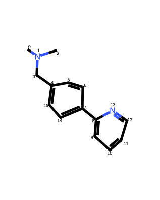 CN(C)Cc1ccc(-c2ccccn2)cc1